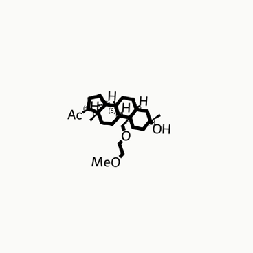 COCCOC[C@]12CC[C@@](C)(O)C[C@@H]1CC[C@H]1[C@@H]3CC[C@H](C(C)=O)[C@@]3(C)CC[C@@H]12